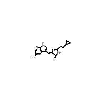 Cc1cnc2[nH]cc(C=C3N=C(NCC4CC4)NC3=O)c2c1